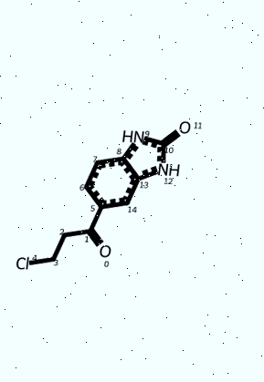 O=C(CCCl)c1ccc2[nH]c(=O)[nH]c2c1